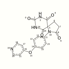 O=C1NC(=O)C2(CCC(=O)N2c2ccc(Oc3ccncc3)cc2)C(=O)N1